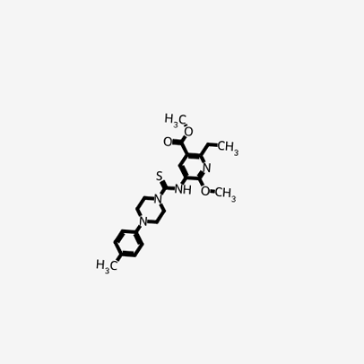 CCc1nc(OC)c(NC(=S)N2CCN(c3ccc(C)cc3)CC2)cc1C(=O)OC